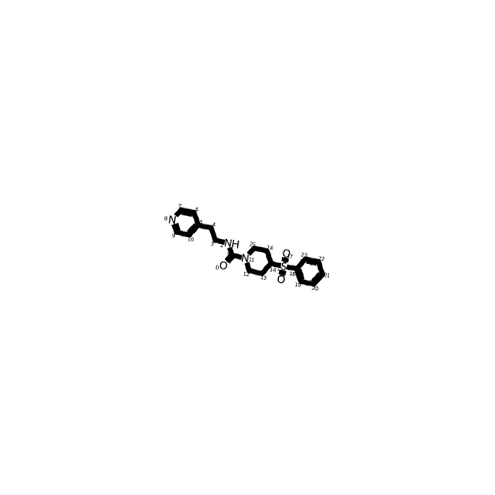 O=C(NCCc1ccncc1)N1CCC(S(=O)(=O)c2ccccc2)CC1